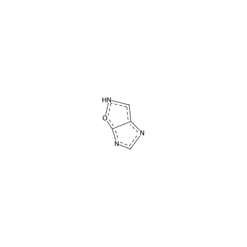 c1nc2c[nH]oc-2n1